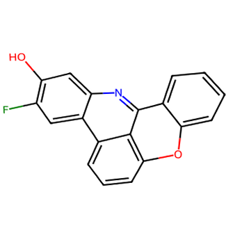 Oc1cc2nc3c4c(cccc4c2cc1F)Oc1ccccc1-3